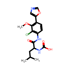 COc1c(-c2cnco2)ccc(NC(=O)C(CC(C)C)NC(=O)O)c1Cl